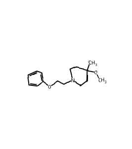 COC1(C)CCN(CCOc2ccccc2)CC1